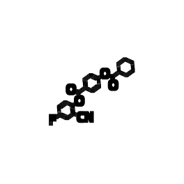 N#Cc1cc(F)ccc1OC(=O)c1ccc(OC(=O)C2CCCCC2)cc1